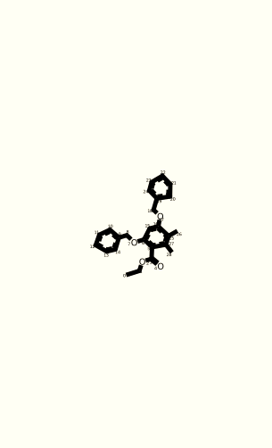 CCOC(=O)c1c(OCc2ccccc2)cc(OCc2ccccc2)c(C)c1C